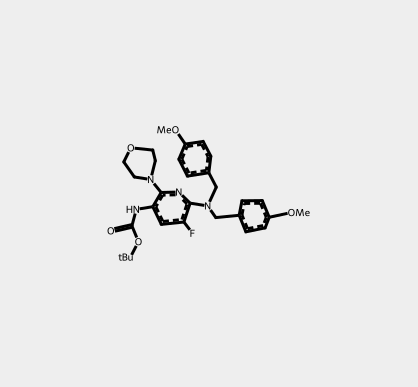 COc1ccc(CN(Cc2ccc(OC)cc2)c2nc(N3CCOCC3)c(NC(=O)OC(C)(C)C)cc2F)cc1